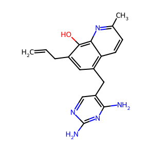 C=CCc1cc(Cc2cnc(N)nc2N)c2ccc(C)nc2c1O